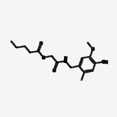 CCCCC(=O)OCC(=O)NCc1cc(OC)c(O)cc1C